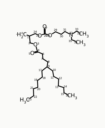 [CH2]C(COC(=O)CCCC(CCCCCCC)CCCCCCC)COC(=O)OCCCN(CC)CC